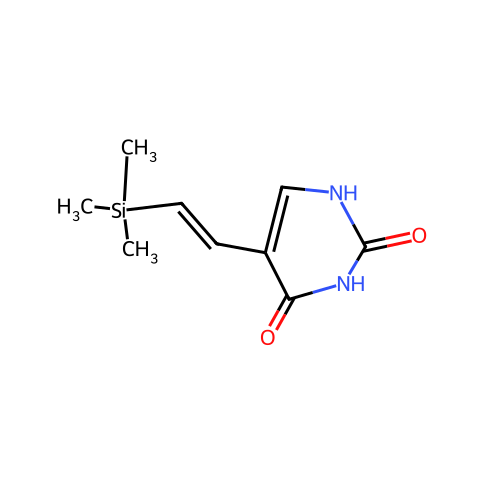 C[Si](C)(C)C=Cc1c[nH]c(=O)[nH]c1=O